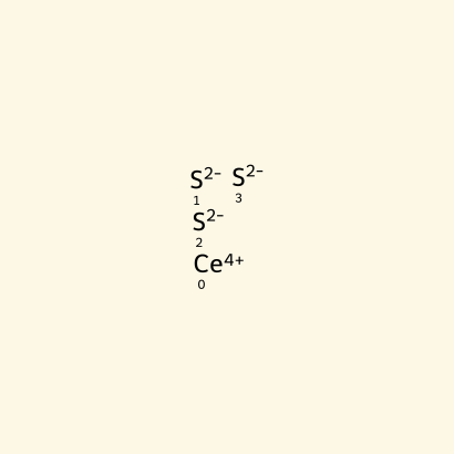 [Ce+4].[S-2].[S-2].[S-2]